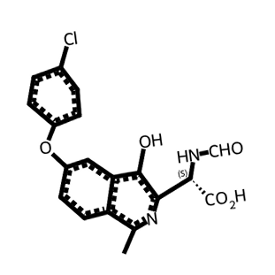 Cc1nc([C@H](NC=O)C(=O)O)c(O)c2cc(Oc3ccc(Cl)cc3)ccc12